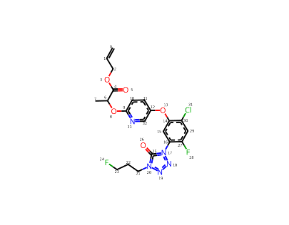 C=CCOC(=O)C(C)Oc1ccc(Oc2cc(-n3nnn(CCCF)c3=O)c(F)cc2Cl)cn1